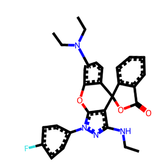 CCNc1nn(-c2ccc(F)cc2)c2c1C1(OC(=O)c3ccccc31)c1ccc(N(CC)CC)cc1O2